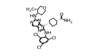 C[C@H]1COCC[C@H]1Nc1ncc2nc(Nc3c(Cl)cc(Cl)cc3Cl)n([C@H]3CC[C@@H](C(N)=O)CC3)c2n1